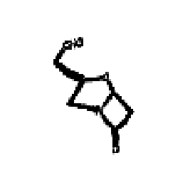 O=CC=C1CN2C(=O)CC2O1